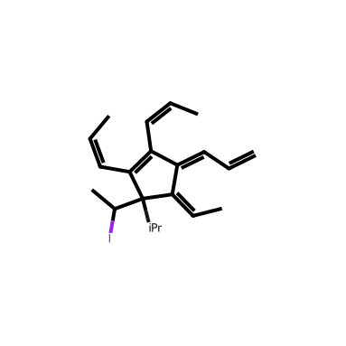 C=C/C=C1C(/C=C\C)=C(/C=C\C)C(C(C)C)(C(C)I)C/1=C/C